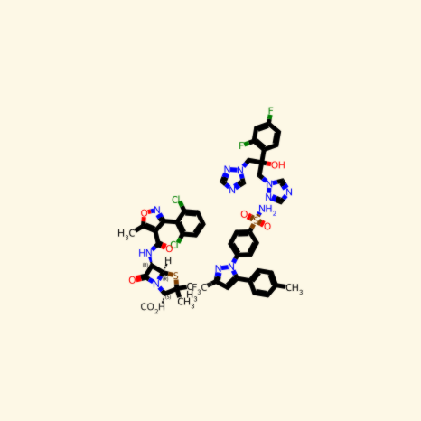 Cc1ccc(-c2cc(C(F)(F)F)nn2-c2ccc(S(N)(=O)=O)cc2)cc1.Cc1onc(-c2c(Cl)cccc2Cl)c1C(=O)N[C@@H]1C(=O)N2[C@@H]1SC(C)(C)[C@@H]2C(=O)O.OC(Cn1cncn1)(Cn1cncn1)c1ccc(F)cc1F